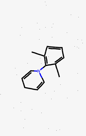 Cc1cccc(C)c1N1C=CCC=C1